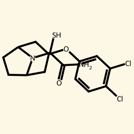 NC(=O)C(S)N1C2CCC1CC(Oc1ccc(Cl)c(Cl)c1)C2